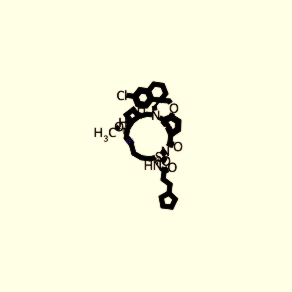 CO[C@H]1/C=C/CCC[S@@](=O)(NC(=O)CCC2CCCC2)=NC(=O)c2ccc3c(c2)N(C[C@@H]2CC[C@H]21)C[C@@]1(CCCc2cc(Cl)ccc21)CO3